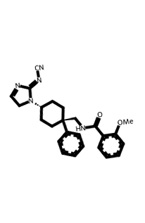 COc1ccccc1C(=O)NC[C@]1(c2ccccc2)CC[C@@H](N2CC=NC2=NC#N)CC1